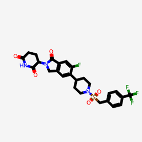 O=C1CCC(N2Cc3cc(C4CCN(S(=O)(=O)Cc5ccc(C(F)(F)F)cc5)CC4)c(F)cc3C2=O)C(=O)N1